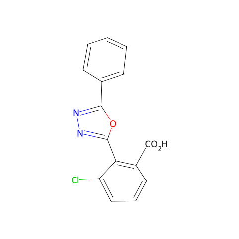 O=C(O)c1cccc(Cl)c1-c1nnc(-c2ccccc2)o1